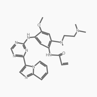 C=CC(=O)Nc1cc(Nc2ncnc(-c3cnc4ccccn34)n2)c(OC)cc1N(C)CCN(C)C